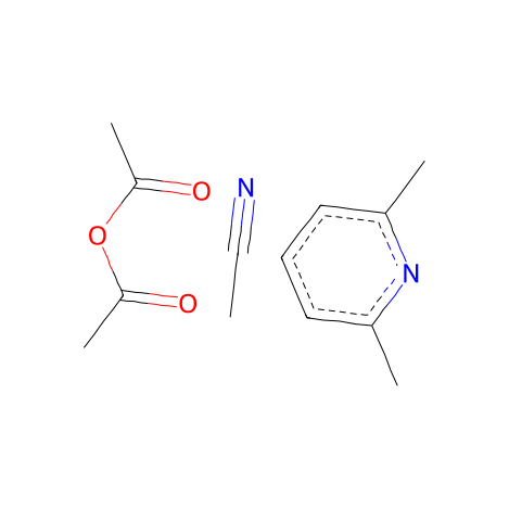 CC#N.CC(=O)OC(C)=O.Cc1cccc(C)n1